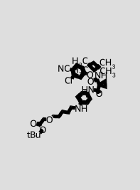 CC(C)(C)OC(=O)COCCCCCNc1ccc(NC(=O)C2(C(=O)NC3(Oc4ccc(C#N)c(Cl)c4)C(C)(C)CC3(C)C)CC2)cc1